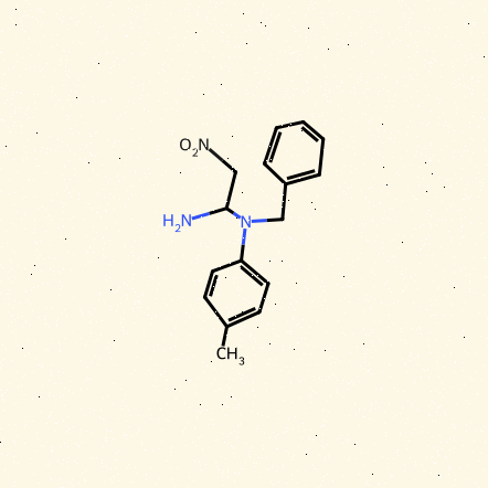 Cc1ccc(N(Cc2ccccc2)C(N)C[N+](=O)[O-])cc1